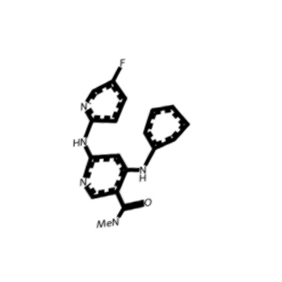 CNC(=O)c1cnc(Nc2ccc(F)cn2)cc1Nc1ccccc1